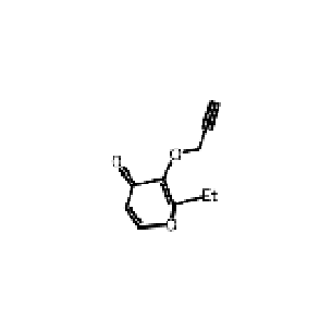 C#CCOc1c(CC)occc1=O